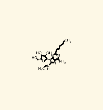 CCCCC=Cc1nc(N)c2nc(NCC)n([C@@H]3O[C@H](CO)[C@@H](O)[C@H]3O)c2n1